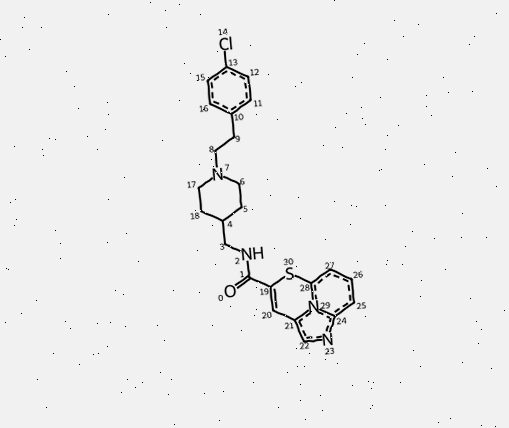 O=C(NCC1CCN(CCc2ccc(Cl)cc2)CC1)C1=Cc2cnc3cccc(n23)S1